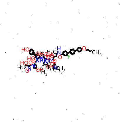 CCCCCOc1ccc(-c2ccc(-c3ccc(C(=O)N[C@H](C)C[C@@H](O)[C@H](NC(=O)[C@@H]4[C@@H](O)[C@@H](C)CN4C(=O)[C@@H](NC(=O)[C@@H](NC(=O)[C@@H]4C[C@@H](O)CN4C(=O)[C@@H](N=O)[C@@H](C)O)[C@H](O)[C@@H](O)c4ccc(O)cc4)[C@@H](C)O)OCC[N+](C)(C)C)cc3F)cc2)cc1